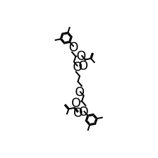 C=C(C)C(=O)OC(COCCCCOCC(COc1cc(C)cc(C)c1)OC(=O)C(=C)C)COc1cc(C)cc(C)c1